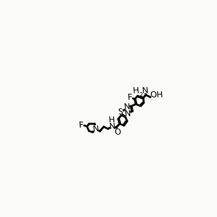 NC(CO)c1ccc(-c2cn3c(n2)sc2cc(C(=O)NCCCN4CCC(F)CC4)ccc23)c(F)c1